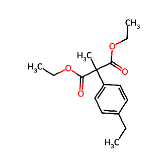 CCOC(=O)C(C)(C(=O)OCC)c1ccc(CC)cc1